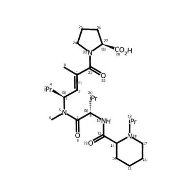 C/C(=C\[C@H](C(C)C)N(C)C(=O)[C@@H](NC(=O)C1CCCCN1C(C)C)C(C)C)C(=O)N1CCC[C@H]1C(=O)O